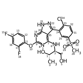 C[C@H](O)[C@H](CO)Nc1nc(Oc2ccc(F)cc2F)nc2[nH]nc(-c3cc(S(C)(=O)=O)ccc3Cl)c12